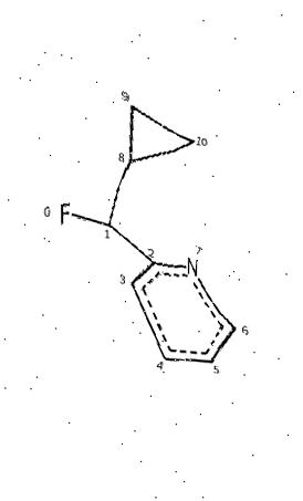 FC(c1ccccn1)C1CC1